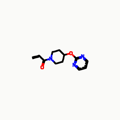 C=CC(=O)N1CCC(Oc2ncccn2)CC1